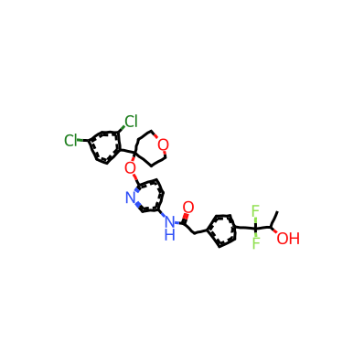 CC(O)C(F)(F)c1ccc(CC(=O)Nc2ccc(OC3(c4ccc(Cl)cc4Cl)CCOCC3)nc2)cc1